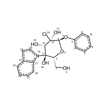 OC[C@H]1O[C@H](Oc2ccccc2)[C@](O)(Cl)[C@@H](O)[C@@]1(O)n1ccc2ccccc21